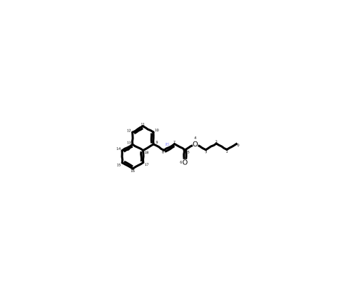 CCCCOC(=O)/C=C/c1cccc2ccccc12